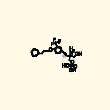 NC(/C=C/c1ccc(OCCCc2ccccc2)c(C(F)(F)F)c1)(CO)COP(=O)(O)O